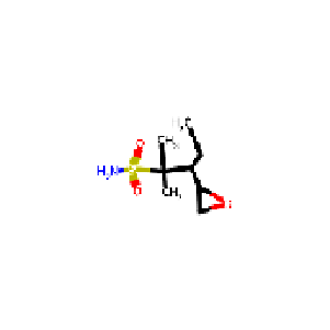 CCC(C1CO1)C(C)(C)S(N)(=O)=O